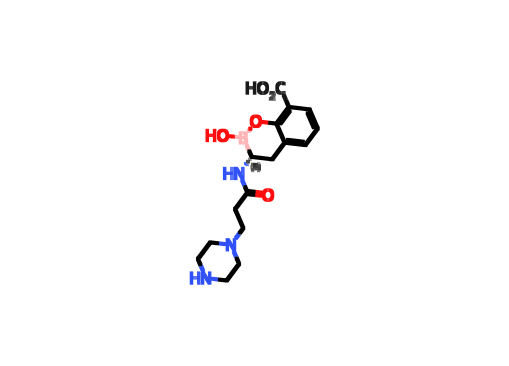 O=C(CCN1CCNCC1)N[C@H]1Cc2cccc(C(=O)O)c2OB1O